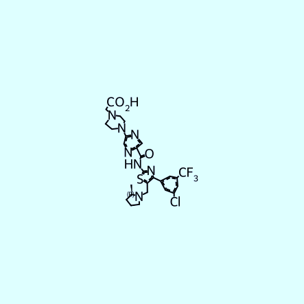 C[C@@H]1CCCN1Cc1sc(NC(=O)c2cnc(N3CCN(CC(=O)O)CC3)cn2)nc1-c1cc(Cl)cc(C(F)(F)F)c1